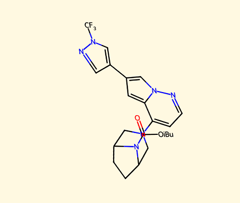 CC(C)COC(=O)N1C2CCC1CN(c1ccnn3cc(-c4cnn(C(F)(F)F)c4)cc13)C2